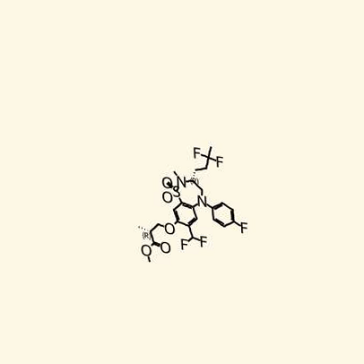 COC(=O)[C@H](C)COc1cc2c(cc1C(F)F)N(c1ccc(F)cc1)C[C@@H](CCC(C)(F)F)N(C)S2(=O)=O